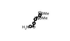 COc1cc(OC)c(-c2cn3ccc(-c4ccc(C(=O)N5CCC(N)CC5)cc4)cc3n2)cc1Cl